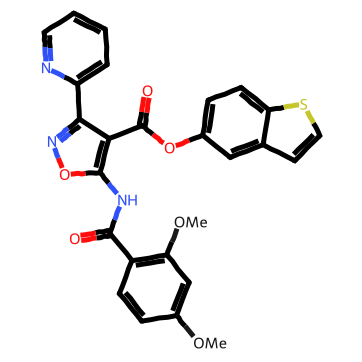 COc1ccc(C(=O)Nc2onc(-c3ccccn3)c2C(=O)Oc2ccc3sccc3c2)c(OC)c1